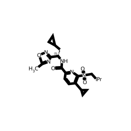 Cc1nc([C@H](CC2CC2)NC(=O)c2ccc(C3CC3)c(S(=O)(=O)CC(C)C)n2)no1